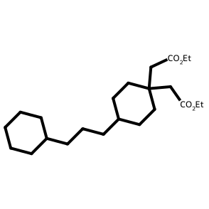 CCOC(=O)CC1(CC(=O)OCC)CCC(CCCC2CCCCC2)CC1